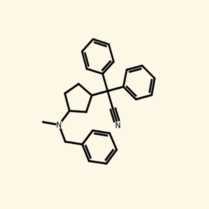 CN(Cc1ccccc1)C1CCC(C(C#N)(c2ccccc2)c2ccccc2)C1